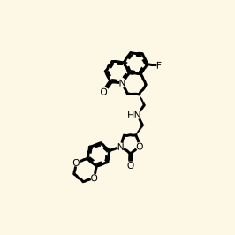 O=C1O[C@H](CNC[C@@H]2Cc3c(F)ccc4ccc(=O)n(c34)C2)CN1c1ccc2c(c1)OCCO2